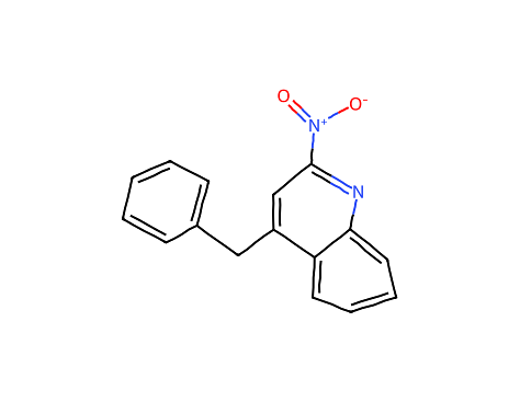 O=[N+]([O-])c1cc(Cc2ccccc2)c2ccccc2n1